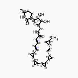 C[C@@H]1C[C@H]1/C=C/[C@@H]1C[C@H]1C1C[C@H]1C1C[C@H]1C1C[C@H]1/C=C/C=C/C(=O)NC[C@H]1O[C@@H](N2CCC(=O)NC2=O)[C@H](O)[C@@H]1O